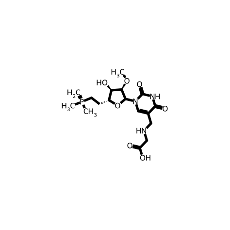 C=P(C)(C)CC[C@H]1OC(n2cc(CNCC(=O)O)c(=O)[nH]c2=O)[C@H](OC)[C@@H]1O